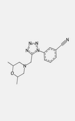 CC1CN(Cc2nnnn2-c2cccc(C#N)c2)CC(C)O1